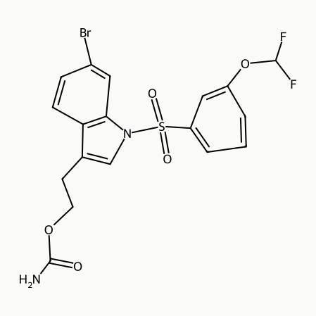 NC(=O)OCCc1cn(S(=O)(=O)c2cccc(OC(F)F)c2)c2cc(Br)ccc12